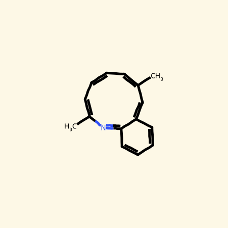 Cc1ccccc(C)nc2ccccc2c1